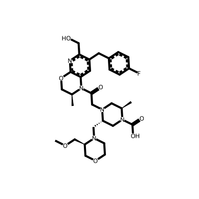 COC[C@@H]1COCCN1C[C@H]1CN(C(=O)O)[C@H](C)CN1CC(=O)N1c2cc(Cc3ccc(F)cc3)c(CO)nc2OC[C@@H]1C